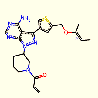 C=CC(=O)N1CCCC(n2nc(-c3csc(CO/C(C)=C/C)c3)c3c(N)ncnc32)C1